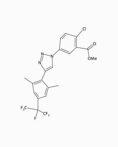 COC(=O)c1cc(-n2cc(-c3c(C)cc(C(F)(C(F)(F)F)C(F)(F)F)cc3C)nn2)ccc1Cl